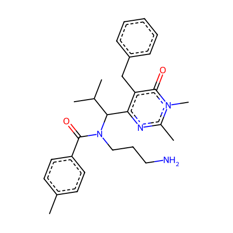 Cc1ccc(C(=O)N(CCCN)C(c2nc(C)n(C)c(=O)c2Cc2ccccc2)C(C)C)cc1